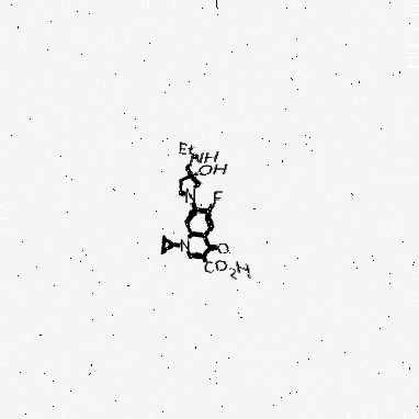 CCNCC1(O)CCN(c2cc3c(cc2F)c(=O)c(C(=O)O)cn3C2CC2)C1